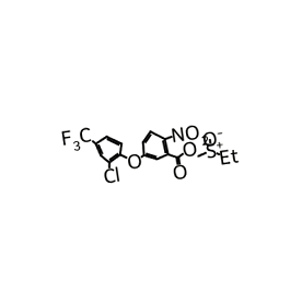 CC[S+]([O-])COC(=O)c1cc(Oc2ccc(C(F)(F)F)cc2Cl)ccc1[N+](=O)[O-]